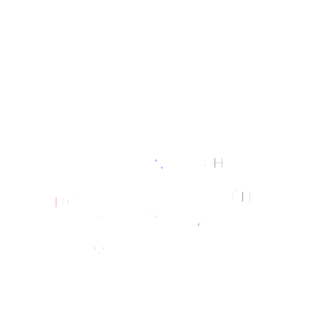 CC(C)(C)c1nc(Cc2ccccc2)c(C(=O)O)s1